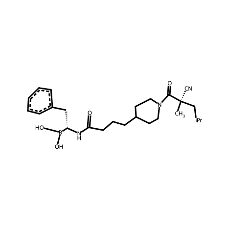 CC(C)C[C@](C)(C#N)C(=O)N1CCC(CCCC(=O)N[C@@H](Cc2ccccc2)B(O)O)CC1